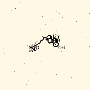 CC[C@H]1[C@@H](O)[C@@H]2[C@H](CC[C@]3(C)[C@@H]([C@H](C)CCCOC(=O)NS(=O)(=O)N(C)C)CC[C@@H]23)[C@@]2(C)CC[C@@H](O)C[C@@H]12